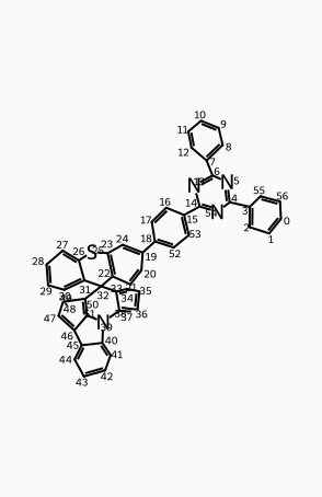 c1ccc(-c2nc(-c3ccccc3)nc(-c3ccc(-c4ccc5c(c4)Sc4ccccc4C54c5ccccc5-n5c6ccccc6c6cccc4c65)cc3)n2)cc1